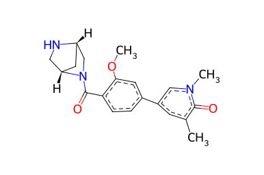 COc1cc(-c2cc(C)c(=O)n(C)c2)ccc1C(=O)N1C[C@@H]2C[C@H]1CN2